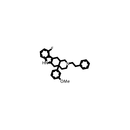 COc1cccc(C23CCN(CCc4ccccc4)CC2Cc2c([nH]c4cccc(F)c24)C3)c1